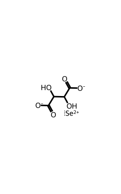 O=C([O-])C(O)C(O)C(=O)[O-].[Se+2]